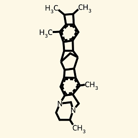 Cc1c2c(cc3c1C1C4CC(C31)C1c3c(cc5c(c3C)C(C)C5C)C41)N1CCC(C)N(C2)C1